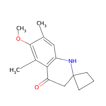 COc1c(C)cc2c(c1C)C(=O)CC1(CCC1)N2